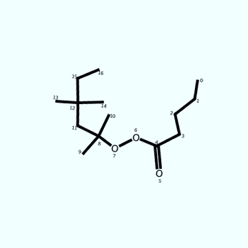 CCCCC(=O)OOC(C)(C)CC(C)(C)CC